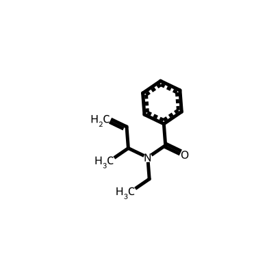 C=CC(C)N(CC)C(=O)c1ccccc1